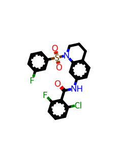 O=C(Nc1ccc2c(c1)N(S(=O)(=O)c1cccc(F)c1)CCC2)c1c(F)cccc1Cl